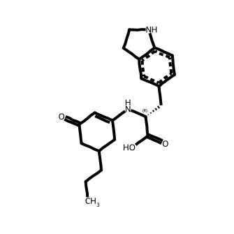 CCCC1CC(=O)C=C(N[C@H](Cc2ccc3c(c2)CCN3)C(=O)O)C1